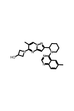 Cc1ccc2ncnc(N3CCCCC3c3cc4nc(N5CC(O)C5)c(C)cn4n3)c2c1